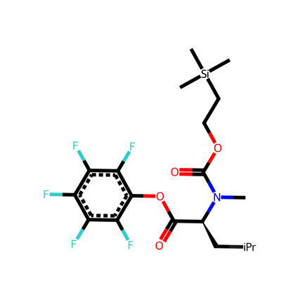 CC(C)C[C@@H](C(=O)Oc1c(F)c(F)c(F)c(F)c1F)N(C)C(=O)OCC[Si](C)(C)C